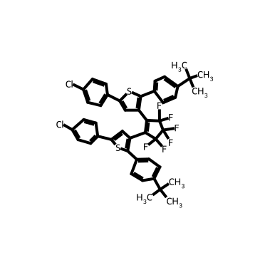 CC(C)(C)c1ccc(-c2sc(-c3ccc(Cl)cc3)cc2C2=C(c3cc(-c4ccc(Cl)cc4)sc3-c3ccc(C(C)(C)C)cc3)C(F)(F)C(F)(F)C2(F)F)cc1